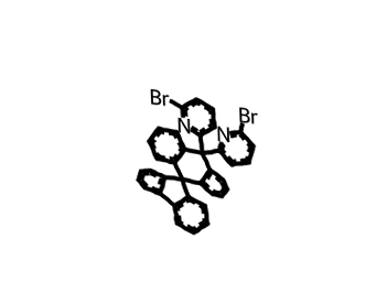 Brc1cccc(C2(c3cccc(Br)n3)c3ccccc3C3(c4ccccc4-c4ccccc43)c3ccccc32)n1